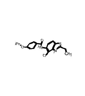 CC(C)Oc1ccc(C(=O)Nc2ccc3sc(CO)nc3c2Cl)cc1